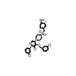 Nc1ccc(CS(=O)(=O)N2CCN(c3cnn(-c4cccc(Cl)c4)c(=O)c3OCc3cccc(Cl)c3)CC2)cc1